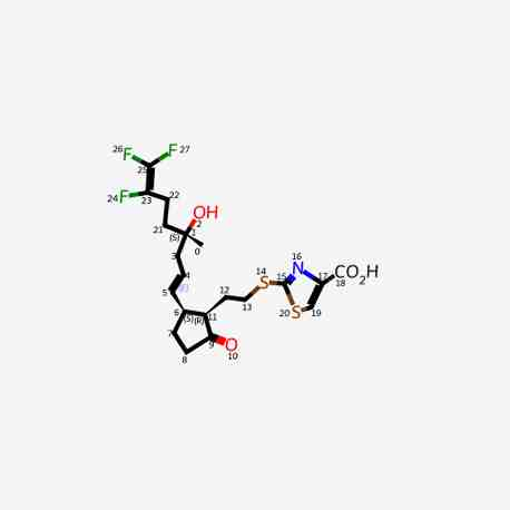 C[C@@](O)(C/C=C/[C@@H]1CCC(=O)[C@@H]1CCSc1nc(C(=O)O)cs1)CCC(F)=C(F)F